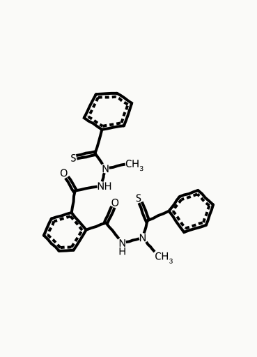 CN(NC(=O)c1ccccc1C(=O)NN(C)C(=S)c1ccccc1)C(=S)c1ccccc1